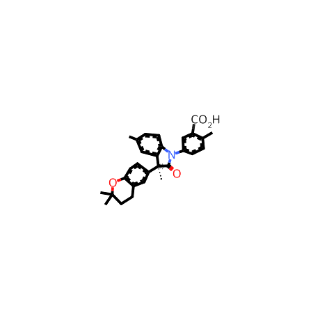 Cc1ccc2c(c1)[C@](C)(c1ccc3c(c1)CCC(C)(C)O3)C(=O)N2c1ccc(C)c(C(=O)O)c1